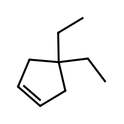 CCC1(CC)CC=CC1